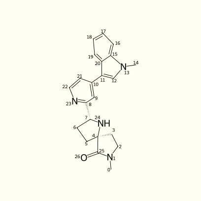 CN1CC[C@@]2(CC[C@H](c3cc(-c4cn(C)c5ccccc45)ccn3)N2)C1=O